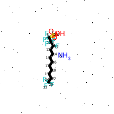 N.O=S(=O)(O)C(F)(F)C(F)(F)C(F)CCCCCCCCC(F)(F)F